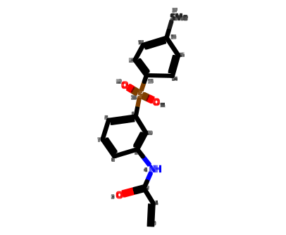 C=CC(=O)Nc1cccc(S(=O)(=O)c2ccc(SC)cc2)c1